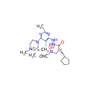 Cc1nc(NNC(=O)[C@@H](CC2CCCC2)CN(O)C=O)c(F)c(N2CCN(C)[C@@H](C)[C@H]2C)n1